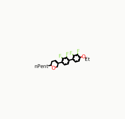 CCCCCC1CC=C(c2ccc(-c3ccc(OCC)c(F)c3F)c(F)c2F)CO1